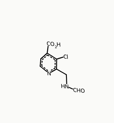 O=CNCc1nccc(C(=O)O)c1Cl